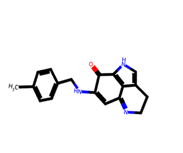 Cc1ccc(CNC2=CC3=NCCc4c[nH]c(c43)C2=O)cc1